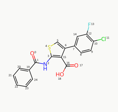 O=C(Nc1scc(-c2ccc(Cl)c(F)c2)c1C(=O)O)c1ccccc1